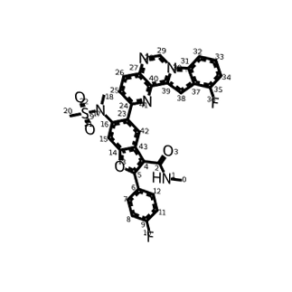 CNC(=O)c1c(-c2ccc(F)cc2)oc2cc(N(C)S(C)(=O)=O)c(-c3ccc4ncn5c6cccc(F)c6cc5c4n3)cc12